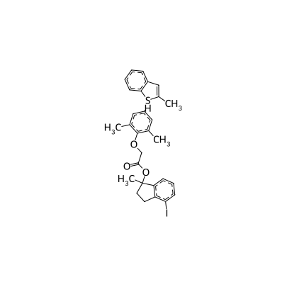 CC1=Cc2ccccc2[SH]1c1cc(C)c(OCC(=O)OC2(C)CCc3c(I)cccc32)c(C)c1